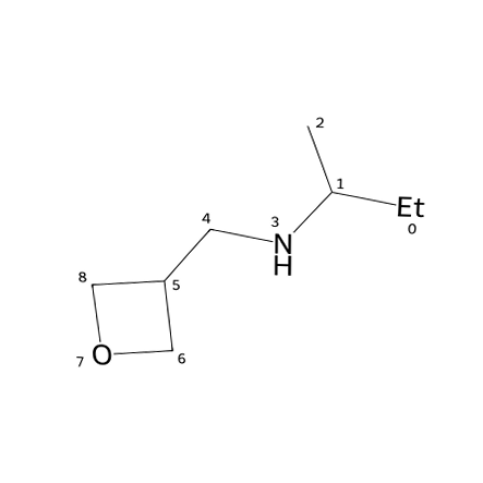 CCC(C)NCC1COC1